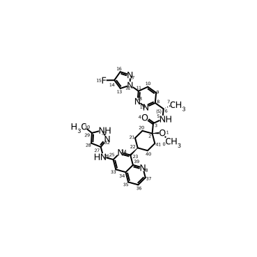 CO[C@]1(C(=O)N[C@@H](C)c2ccc(-n3cc(F)cn3)nn2)CC[C@H](c2nc(Nc3cc(C)[nH]n3)cc3cccnc32)CC1